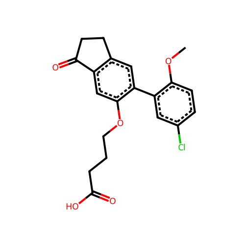 COc1ccc(Cl)cc1-c1cc2c(cc1OCCCC(=O)O)C(=O)CC2